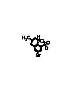 C[C@H]1CNc2c(cc(Br)cc2S(=O)(=O)Cl)C1